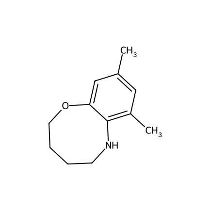 Cc1cc(C)c2c(c1)OCCCCN2